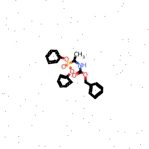 CC(NC(=O)OCc1ccccc1)P(=O)(Oc1ccccc1)Oc1ccccc1